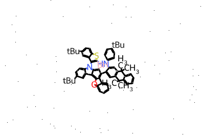 CC(C)(C)c1ccc(Nc2cc3c(cc2-c2c4c5c(c6cc(C(C)(C)C)ccc6n5-c5c(sc6ccc(C(C)(C)C)cc56)B4)c4oc5ccccc5c24)C(C)(C)c2ccccc2C3(C)C)cc1